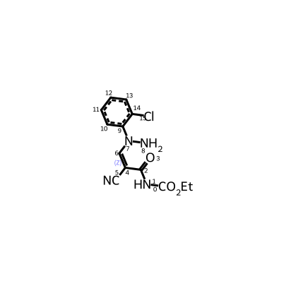 CCOC(=O)NC(=O)/C(C#N)=C\N(N)c1ccccc1Cl